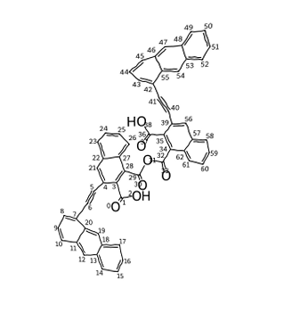 O=C(O)c1c(C#Cc2cccc3cc4ccccc4cc23)cc2ccccc2c1C(=O)OC(=O)c1c(C(=O)O)c(C#Cc2cccc3cc4ccccc4cc23)cc2ccccc12